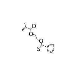 C=C(C)C(=O)OCCOC(=S)c1ccccc1